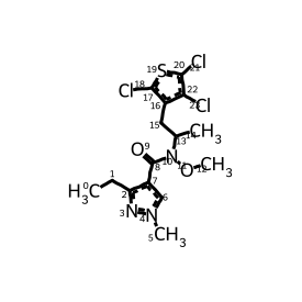 CCc1nn(C)cc1C(=O)N(OC)C(C)Cc1c(Cl)sc(Cl)c1Cl